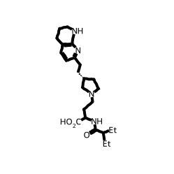 CCC(CC)C(=O)NC(CCN1CC[C@@H](CCc2ccc3c(n2)NCCC3)C1)C(=O)O